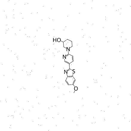 COc1ccc2nc(-c3ccc(N4CCCC(O)C4)nc3)sc2c1